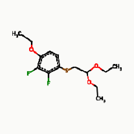 CCOc1ccc(SCC(OCC)OCC)c(F)c1F